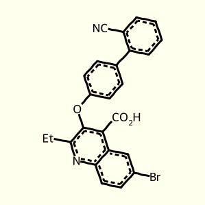 CCc1nc2ccc(Br)cc2c(C(=O)O)c1Oc1ccc(-c2ccccc2C#N)cc1